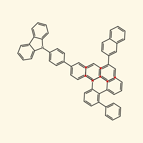 c1ccc(-c2ccccc2-c2c(-c3ccccc3)cccc2N(c2ccc(-c3ccc(-n4c5ccccc5c5ccccc54)cc3)cc2)c2cccc(-c3ccc4ccccc4c3)c2)cc1